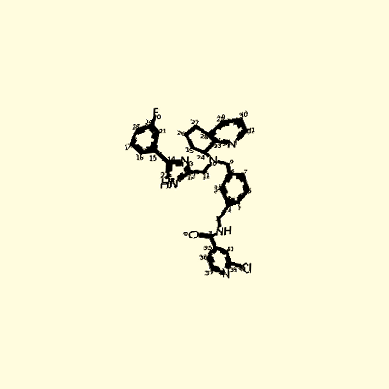 O=C(NCc1cccc(CN(Cc2nc(-c3cccc(F)c3)c[nH]2)C2CCCc3cccnc32)c1)c1ccnc(Cl)c1